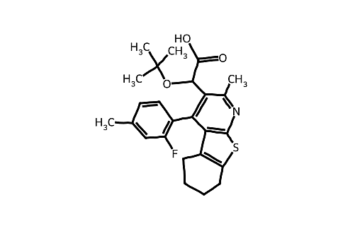 Cc1ccc(-c2c(C(OC(C)(C)C)C(=O)O)c(C)nc3sc4c(c23)CCCC4)c(F)c1